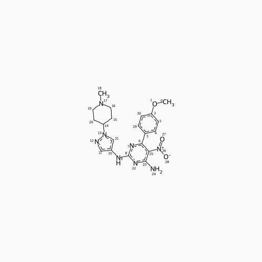 COc1ccc(-c2nc(Nc3cnn(C4CCN(C)CC4)c3)nc(N)c2[N+](=O)[O-])cc1